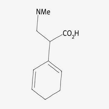 CNCC(C(=O)O)C1=CCCC=C1